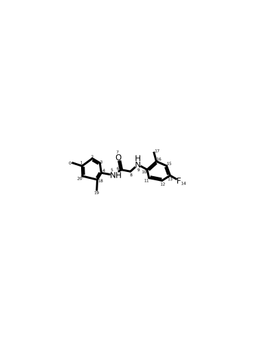 Cc1ccc(NC(=O)CNc2ccc(F)cc2C)c(C)c1